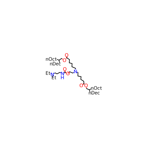 CCCCCCCCCCC(CCCCCCCC)COC(=O)CCCCCN(CCCCCC(=O)OCC(CCCCCCCC)CCCCCCCCCC)CCOC(=O)NCCCN(CC)CC